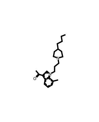 CCCCC1CCN(CCCn2cc(C(C)=O)c3cccc(C)c32)CC1